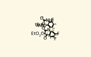 CCOC(=O)C1C(=O)c2cc(F)c(F)cc2N(c2ccc(F)c(NC(=O)OC(C)(C)C)c2OC)C1=O